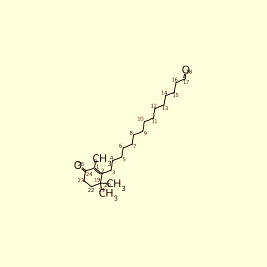 CC1=C(CCCCCCCCCCCCCCC=O)C(C)(C)CCC1=O